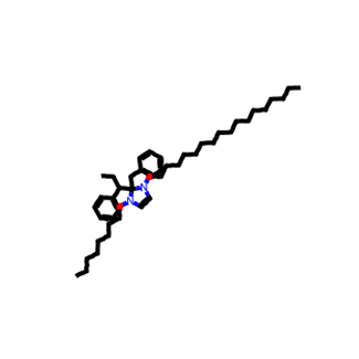 CCCCCCCCCCCCCCCCCCN1C=CN(CCCCCCCCC)C1(Cc1ccccc1)C(CC)c1ccccc1